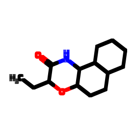 CCC1OC2CCC3CCCCC3C2NC1=O